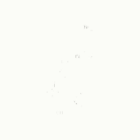 NC(=O)C1C2Cc3ccc(NC(=O)c4ccc([N+](=O)[O-])cc4)c(O)c3C(=O)C2=C(O)C2(O)C(=O)CC(O)CC12